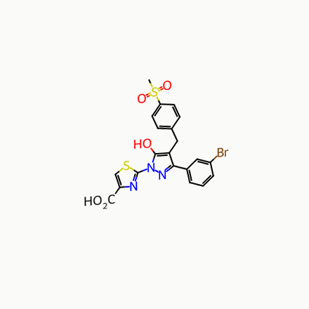 CS(=O)(=O)c1ccc(Cc2c(-c3cccc(Br)c3)nn(-c3nc(C(=O)O)cs3)c2O)cc1